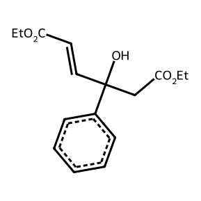 CCOC(=O)C=CC(O)(CC(=O)OCC)c1ccccc1